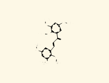 CCCOc1cc(/C=C/C(=O)c2cc(OCCC)cc(OCCC)c2OCCC)c(OCCC)c(OC)c1